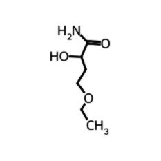 CCOCCC(O)C(N)=O